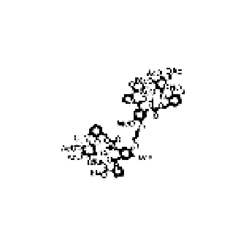 CCOC(SCC)[C@@H]1CCCN1C(=O)c1cc(OC)c(OCCCOc2cc(NC(=O)OCc3cccc([N+](=O)[O-])c3OC3O[C@H](COC(C)=O)[C@H](OC(C)=O)[C@H](OC(C)=O)[C@H]3OC(C)=O)c(C(=O)N3CCC[C@H]3C(OCC)SCC)cc2OC)cc1NC(=O)OCc1cccc([N+](=O)[O-])c1OC1O[C@H](COC(C)=O)[C@H](OC(C)=O)[C@H](OC(C)=O)[C@H]1OC(C)=O